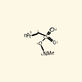 CCCCS(=O)(=O)ONC